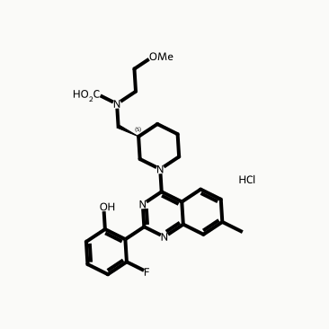 COCCN(C[C@H]1CCCN(c2nc(-c3c(O)cccc3F)nc3cc(C)ccc23)C1)C(=O)O.Cl